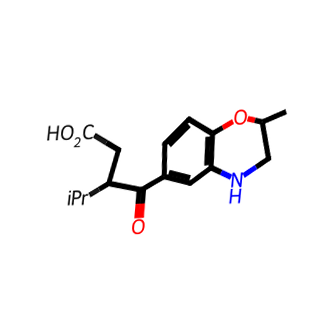 CC1CNc2cc(C(=O)C(CC(=O)O)C(C)C)ccc2O1